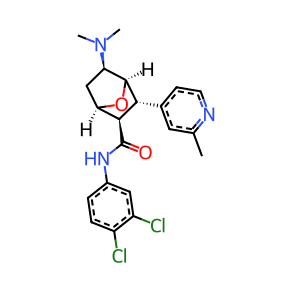 Cc1cc([C@H]2[C@H]3O[C@H](C[C@H]3N(C)C)[C@@H]2C(=O)Nc2ccc(Cl)c(Cl)c2)ccn1